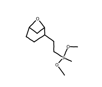 CO[Si](C)(CCC1CCC2CC1O2)OC